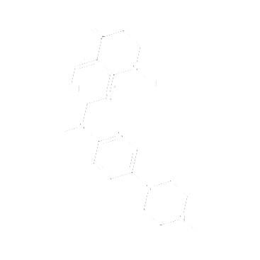 C/C=C1/C(=O)CCN(C)/C1=N/CN(C)c1ccc(N2CCN(C)CC2)cn1